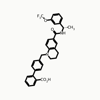 C[C@H](NC(=O)c1ccc2c(c1)CCCN2Cc1ccc(-c2ccccc2C(=O)O)cc1)c1cccc(OC(F)(F)F)c1